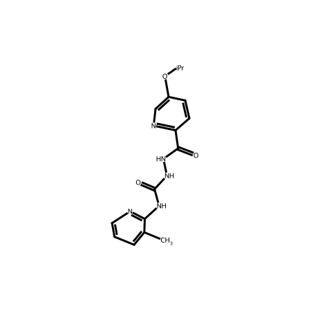 Cc1cccnc1NC(=O)NNC(=O)c1ccc(OC(C)C)cn1